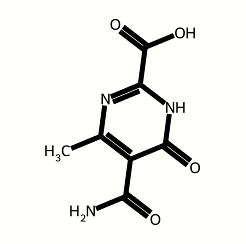 Cc1nc(C(=O)O)[nH]c(=O)c1C(N)=O